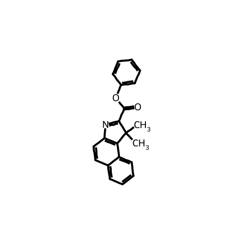 CC1(C)C(C(=O)Oc2ccccc2)=Nc2ccc3ccccc3c21